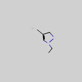 CSC1=CN(CC(C)C)NC1